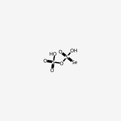 O=S(=O)(O)OS(=O)(O)=[Se]